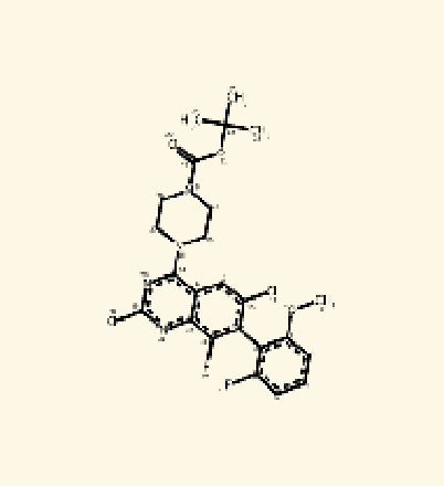 COc1cccc(F)c1-c1c(Cl)cc2c(N3CCN(C(=O)OC(C)(C)C)CC3)nc(Cl)nc2c1F